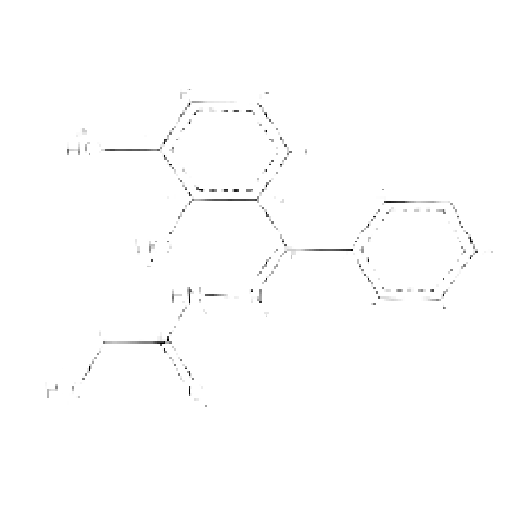 CCC(=O)NN=C(c1ccccc1)c1cccc(O)c1O